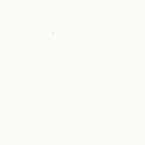 CCCCCCCCCC/C=C\CCCCCC#CC(=O)ON1C(=O)CCC1=O